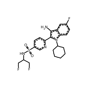 Nc1c(-c2ccc(S(=O)(=O)NC(CF)CF)cn2)n(C2CCCCC2)c2ccc(F)cc12